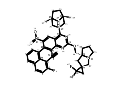 C#Cc1c(F)ccc2cccc(-c3c([N+](=O)[O-])cc4c(N5C[C@H]6CC[C@@H](C5)N6)nc(OC[C@]56CCCN5C[C@]5(CC5(F)F)C6)nc4c3F)c12